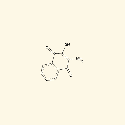 NC1=C(S)C(=O)c2ccccc2C1=O